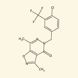 Cc1nn(Cc2ccc(Cl)c(C(F)(F)F)c2)c(=O)c2c(C)noc12